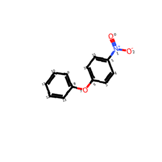 O=[N+]([O-])c1c[c]c(Oc2ccccc2)cc1